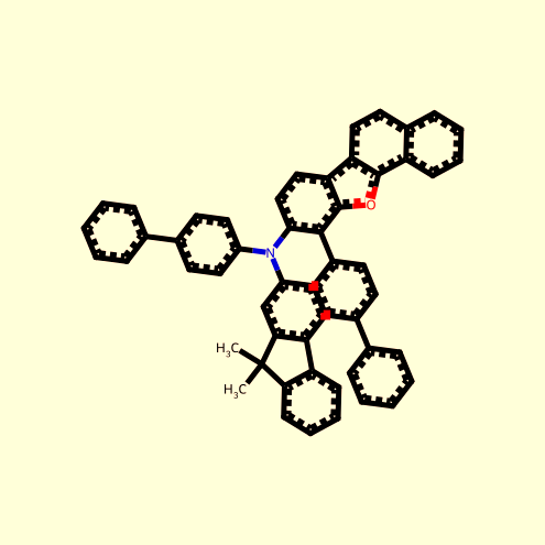 CC1(C)c2ccccc2-c2ccc(N(c3ccc(-c4ccccc4)cc3)c3ccc4c(oc5c6ccccc6ccc45)c3-c3ccc(-c4ccccc4)cc3)cc21